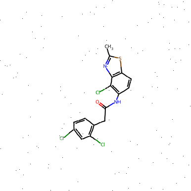 Cc1nc2c(Cl)c(NC(=O)Cc3ccc(Cl)cc3Cl)ccc2s1